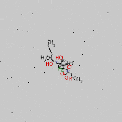 CCC#CC[C@H](C)[C@H](O)/C=C/[C@@H]1[C@@H]2[C@H](C[C@H]1O)O/C(=C(\CCC)C(=O)O)C2(F)F